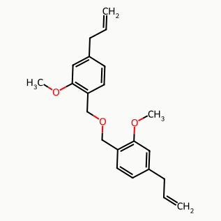 C=CCc1ccc(COCc2ccc(CC=C)cc2OC)c(OC)c1